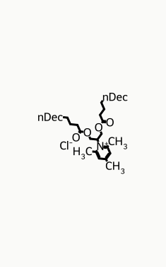 CCCCCCCCCCCCCC(=O)OCC(COC(=O)CCCCCCCCCCCCC)[n+]1c(C)cc(C)cc1C.[Cl-]